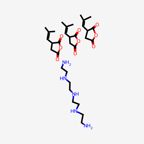 CC(C)=CC1CC(=O)OC1=O.CC(C)=CC1CC(=O)OC1=O.CC(C)=CC1CC(=O)OC1=O.NCCNCCNCCNCCN